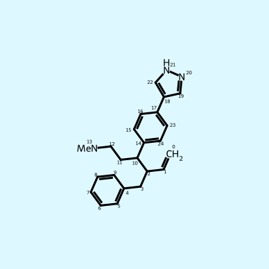 C=CC(Cc1ccccc1)C(CCNC)c1ccc(-c2cn[nH]c2)cc1